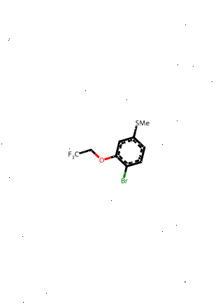 CSc1ccc(Br)c(OCC(F)(F)F)c1